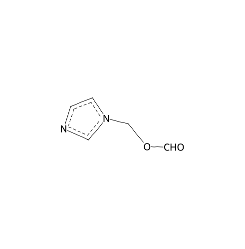 O=COCn1ccnc1